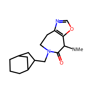 CNC1C(=O)N(CC2CC3CCCC2C3)CCc2ncoc21